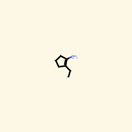 CCC1=C(N)CCC1